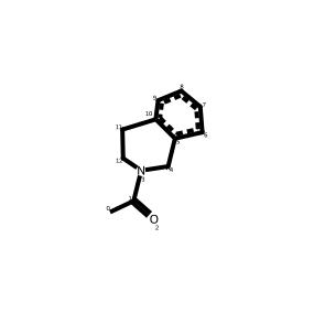 CC(=O)N1[C]c2ccccc2CC1